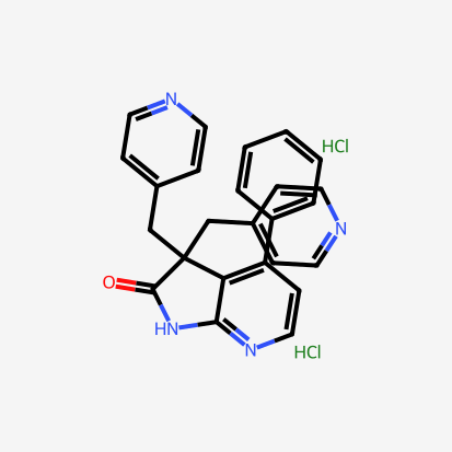 Cl.Cl.O=C1Nc2nccc(-c3ccccc3)c2C1(Cc1ccncc1)Cc1ccncc1